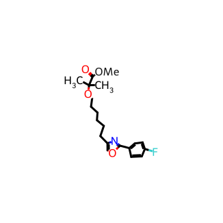 COC(=O)C(C)(C)OCCCCCCc1coc(-c2ccc(F)cc2)n1